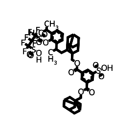 CC(C)c1cccc(C(C)CC2C3CC4CC(C3)CC2(COC(=O)c2cc(C(=O)OCC35CC6CC(CC(C6)C3)C5)cc(S(=O)(=O)O)c2)C4)c1OS(=O)(=O)C(F)(F)C(F)(F)C(F)(F)S(=O)(=O)O